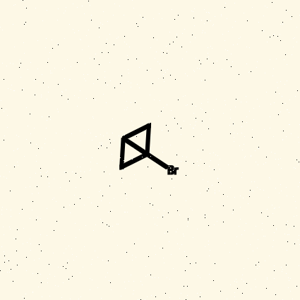 BrC12CC1C2